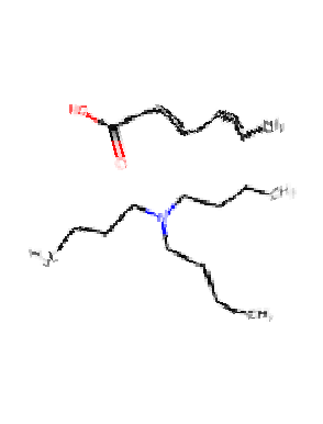 C/C=C/C=C/C(=O)O.CCCCN(CCCC)CCCC